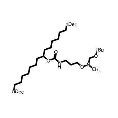 CCCCCCCCCCCCCCCCCC(CCCCCCCCCCCCCCCC)OC(=O)NCCCON(C)COC(C)(C)C